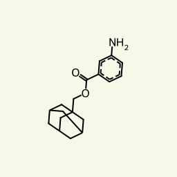 Nc1cccc(C(=O)OCC23CC4CC(CC(C4)C2)C3)c1